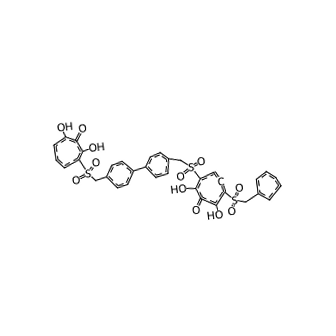 O=c1c(O)cccc(S(=O)(=O)Cc2ccc(-c3ccc(CS(=O)(=O)c4ccc(S(=O)(=O)Cc5ccccc5)c(O)c(=O)c4O)cc3)cc2)c1O